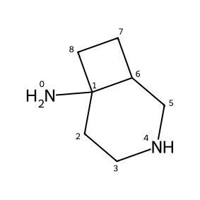 NC12CCNCC1CC2